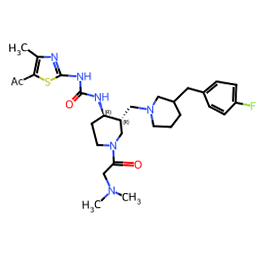 CC(=O)c1sc(NC(=O)N[C@@H]2CCN(C(=O)CN(C)C)C[C@H]2CN2CCCC(Cc3ccc(F)cc3)C2)nc1C